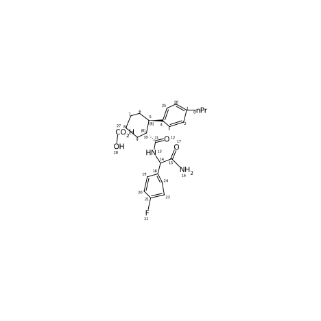 CCCc1ccc([C@@H]2CCCC[C@H]2C(=O)NC(C(N)=O)c2ccc(F)cc2)cc1.O=C(O)O